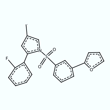 [CH2]c1cc(-c2ccccc2F)n(S(=O)(=O)c2cccc(-c3ccco3)c2)c1